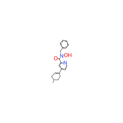 CC1CC=C(c2ccnc(C(=O)N(O)Cc3ccccc3)c2)CC1